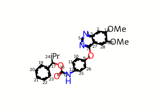 COc1cc2ncnc(Oc3ccc(NC(=O)OC(c4ccccc4)C(C)C)cc3)c2cc1OC